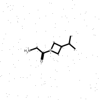 CC(C)C1CN(C(=O)CN)C1